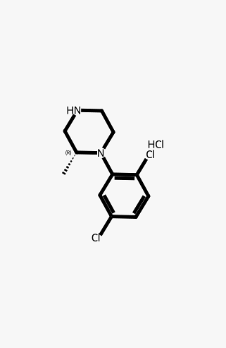 C[C@@H]1CNCCN1c1cc(Cl)ccc1Cl.Cl